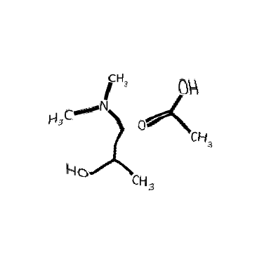 CC(=O)O.CC(O)CN(C)C